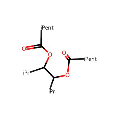 CCCC(C)C(=O)OC(C(C)C)C(OC(=O)C(C)CCC)C(C)C